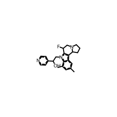 Cc1cc(C)c2c(c1)c1c(n2CC(O)c2ccncc2)C(F)CN2CCCC12